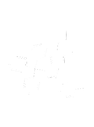 C=Cc1cc2c(-c3ccnc(C)c3)nn(C(c3ccccc3)(c3ccccc3)c3ccccc3)c2cc1NC(C)=O